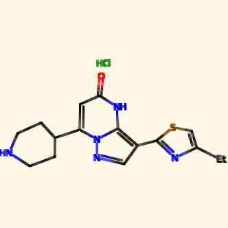 CCc1csc(-c2cnn3c(C4CCNCC4)cc(=O)[nH]c23)n1.Cl